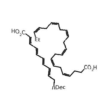 CC/C=C\C/C=C\C/C=C\C/C=C\C/C=C\C/C=C\CCC(=O)O.CCCCCCCCCCC/C=C/C=C/C=C/C=C/C(=O)O